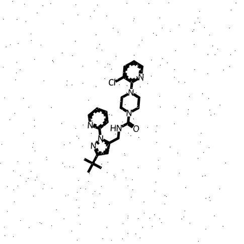 CC(C)(C)c1cc(CNC(=O)N2CCN(c3ncccc3Cl)CC2)n(-c2ccccn2)n1